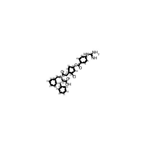 N=C(N)Nc1ccc(C(=O)Oc2ccc(CC(=O)N(Cc3ccccc3)[C@@H](Cc3ccccc3)C(=O)O)c(Cl)c2)cc1